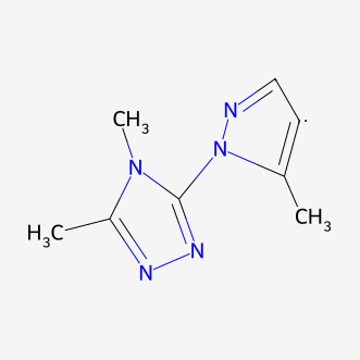 Cc1[c]cnn1-c1nnc(C)n1C